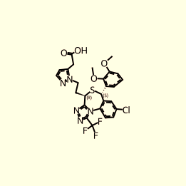 COc1cccc([C@H]2S[C@H](CCn3nccc3CC(=O)O)c3nnc(C(F)(F)F)n3-c3ccc(Cl)cc32)c1OC